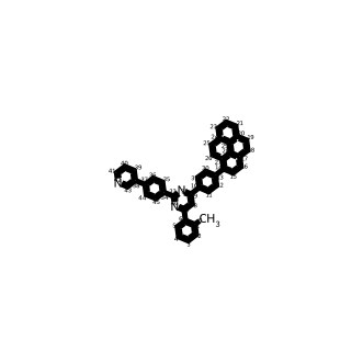 Cc1ccccc1-c1cc(-c2ccc(-c3ccc4ccc5cccc6ccc3c4c56)cc2)nc(-c2ccc(-c3cccnc3)cc2)n1